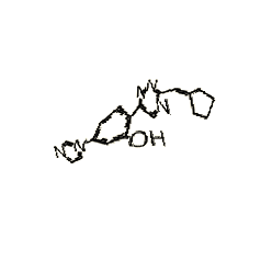 Oc1cc(-n2ccnc2)ccc1-c1cnc(C=C2CCCC2)nn1